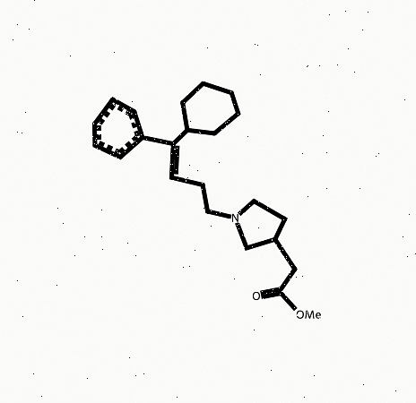 COC(=O)CC1CCN(CC/C=C(/c2ccccc2)C2CCCCC2)C1